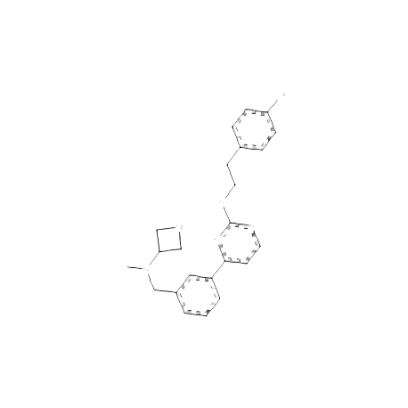 CCN(Cc1cccc(-c2ccnc(NCCc3ccc(O)cc3)n2)c1)C1CNC1